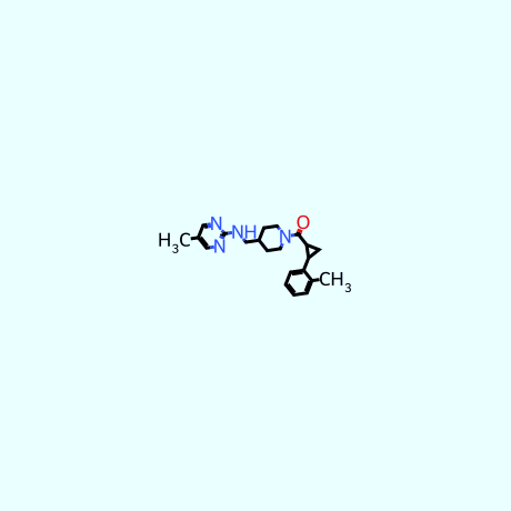 Cc1cnc(NCC2CCN(C(=O)C3CC3c3ccccc3C)CC2)nc1